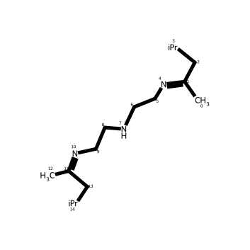 CC(CC(C)C)=NCCNCCN=C(C)CC(C)C